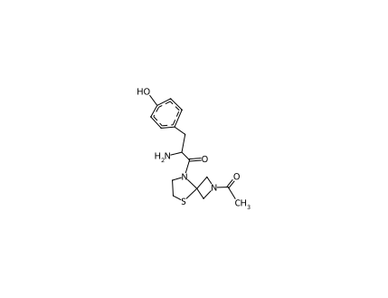 CC(=O)N1CC2(C1)SCCN2C(=O)C(N)Cc1ccc(O)cc1